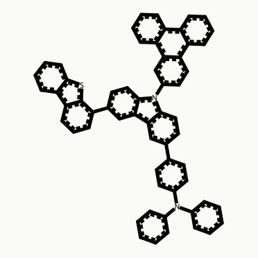 c1ccc(N(c2ccccc2)c2ccc(-c3ccc4c(c3)c3cc(-c5cccc6c5sc5ccccc56)ccc3n4-c3ccc4c5ccccc5c5ccccc5c4c3)cc2)cc1